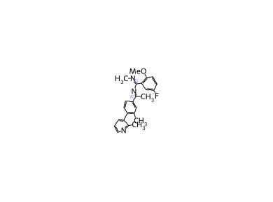 C/N=C(\N=C(/C)c1ccc(-c2cccnc2C)c(C)c1)c1cc(F)ccc1OC